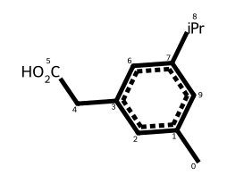 Cc1cc(CC(=O)O)cc(C(C)C)c1